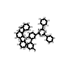 Cc1cccc(-c2cc(-c3nc(-c4ccccc4)nc(-c4ccccc4)n3)ccc2-n2c3ccccc3c3ccc4sc5ccccc5c4c32)c1